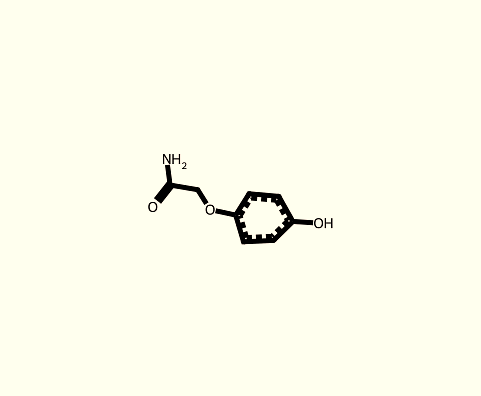 NC(=O)COc1ccc(O)cc1